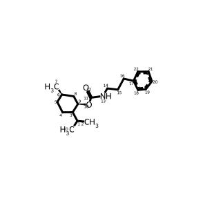 CC(C)C1CC[C@@H](C)C[C@H]1OC(=O)NCCCc1ccccc1